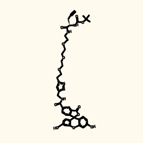 C#CC[C@H](NC(=O)OC(C)(C)C)C(=O)NCCOCCOCCOCCn1cc(CNC(=O)c2ccc3c(c2)C(=O)OC32c3ccc(O)cc3Oc3cc(O)ccc32)nn1